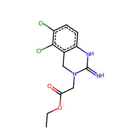 CCOC(=O)CN1Cc2c(ccc(Cl)c2Cl)NC1=N